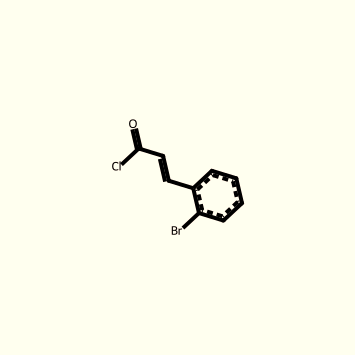 O=C(Cl)/C=C/c1ccccc1Br